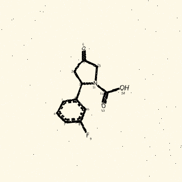 O=C1CC(c2cccc(F)c2)N(C(=O)O)C1